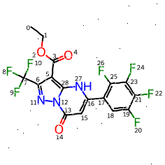 CCOC(=O)c1c(C(F)(F)F)nn2c(=O)cc(-c3cc(F)c(F)c(F)c3F)[nH]c12